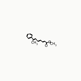 COC(=O)C=CC=CC=C(C)c1ccccc1